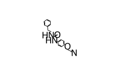 N#CCOc1ccc(NC(=O)NCCc2ccccc2)cc1